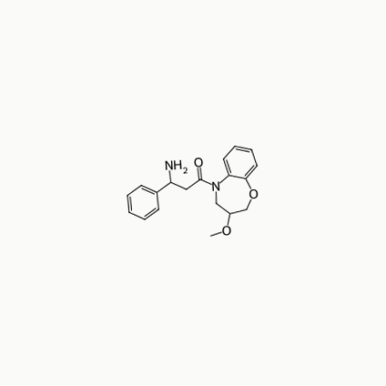 COC1COc2ccccc2N(C(=O)CC(N)c2ccccc2)C1